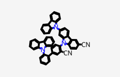 N#Cc1ccc2c(c1)c1ccc(-n3c4ccccc4c4ccccc43)cc1n2-c1ccc(-c2ccccc2-n2c3ccccc3c3ccccc32)cc1C#N